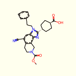 COC(=O)N1CCc2c(C#N)cc3c(nc([C@H]4CC[C@H](C(=O)O)CC4)n3CCc3ccccc3)c2C1